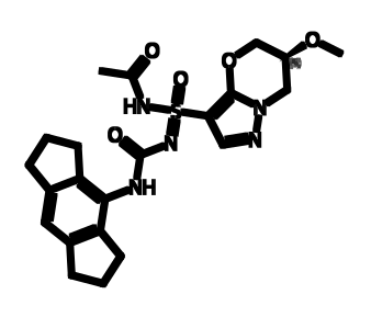 CO[C@@H]1COc2c(S(=O)(=NC(=O)Nc3c4c(cc5c3CCC5)CCC4)NC(C)=O)cnn2C1